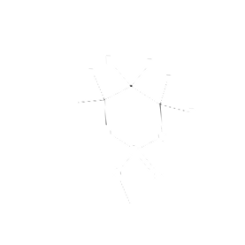 COP1(=O)OC(F)(F)C(F)(F)C(F)(F)O1